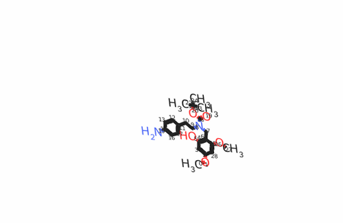 COc1cc(O)c(CN(CCc2ccc(N)cc2)C(=O)OC(C)(C)C)c(OC)c1